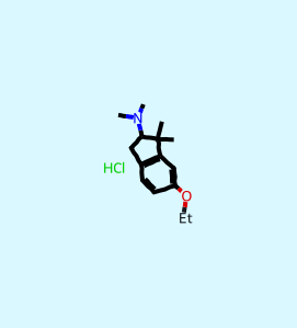 CCOc1ccc2c(c1)C(C)(C)C(N(C)C)C2.Cl